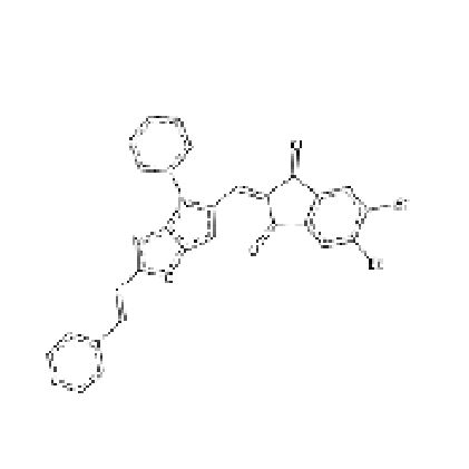 CCc1cc2c(cc1CC)C(=O)C(=Cc1cc3oc(/C=C/c4ccccc4)nc3n1-c1ccccc1)C2=O